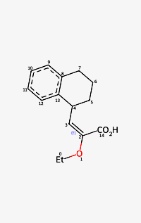 CCO/C(=C/C1CCCc2ccccc21)C(=O)O